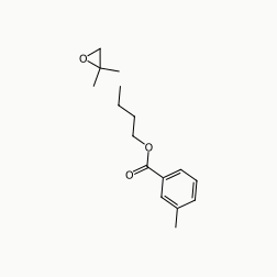 CC1(C)CO1.CCCCOC(=O)c1cccc(C)c1